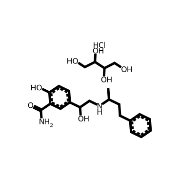 CC(CCc1ccccc1)NCC(O)c1ccc(O)c(C(N)=O)c1.Cl.OCC(O)C(O)CO